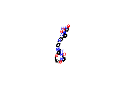 Cn1c(=O)n(C2CCC(=O)NC2=O)c2cccc(C3CCN(C[C@H]4CC[C@H](n5cc6cc7c(cc6n5)OCCCCCOc5cccc(n5)C(=O)N7)CC4)CC3)c21